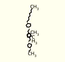 CCCCCCCCC[C@H]1CC[C@H](CCc2ccc(CC[C@H]3CC[C@H](CCC)CC3)c(C)c2C)CC1